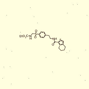 CCOC(=O)NCS(=O)(=O)c1ccc(CCNC(=O)c2scc3c2CCCC3)cc1